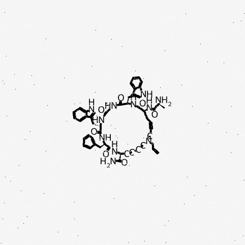 C=CCN1CC#CC[C@H](NC(=O)[C@H](C)N)C(=O)N[C@H](Cc2c[nH]c3ccccc23)C(=O)N[C@@H](C)C(=O)N[C@@H](Cc2c[nH]c3ccccc23)C(=O)N[C@H](Cc2ccccc2)C(=O)N[C@H](C(N)=O)CCCC1